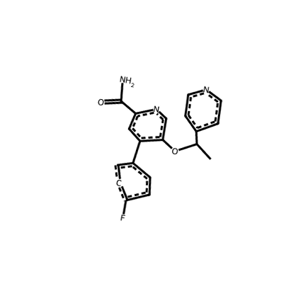 CC(Oc1cnc(C(N)=O)cc1-c1ccc(F)cc1)c1ccncc1